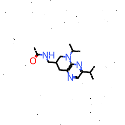 CC(=O)NCC1Cc2ncc(C(C)C)nc2N(C(C)C)C1